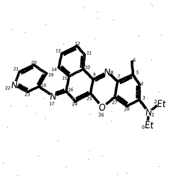 CCN(CC)c1cc(C)c2nc3c4ccccc4/c(=N\c4cccnc4)cc-3oc2c1